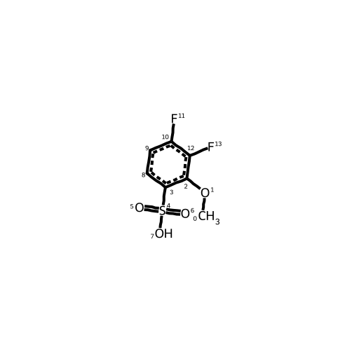 COc1c(S(=O)(=O)O)ccc(F)c1F